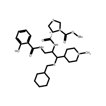 CN1CCC(C(SCC2CCCCC2)C(CNC(=O)c2ccccc2O)NC(=O)[C@@H]2CSCN2C(=O)OC(C)(C)C)CC1